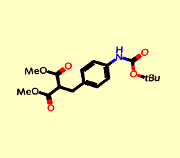 COC(=O)C(Cc1ccc(NC(=O)OC(C)(C)C)cc1)C(=O)OC